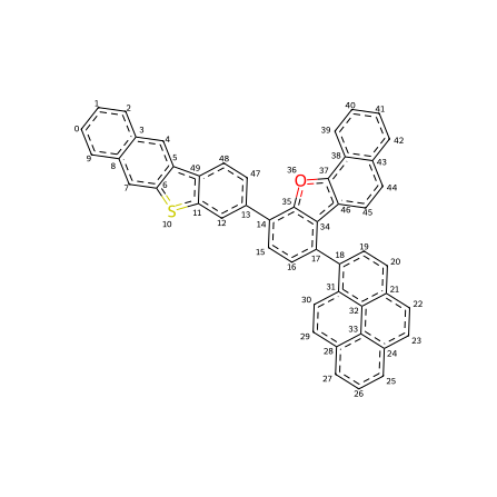 c1ccc2cc3c(cc2c1)sc1cc(-c2ccc(-c4ccc5ccc6cccc7ccc4c5c67)c4c2oc2c5ccccc5ccc24)ccc13